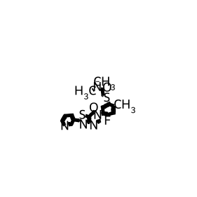 Cc1cc(F)c(-n2cnc3nc(-c4cccnc4)sc3c2=O)cc1SCC(=O)N(C)C